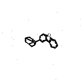 c1ccc2c(c1)oc1ccc(C3[C]4CC5CC(C4)CC3C5)cc12